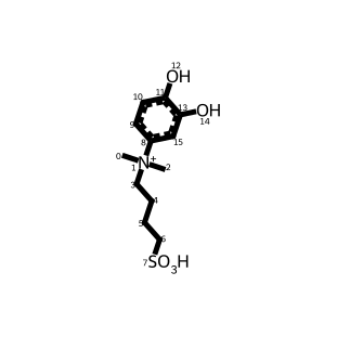 C[N+](C)(CCCCS(=O)(=O)O)c1ccc(O)c(O)c1